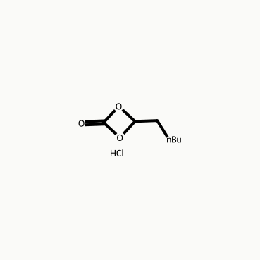 CCCCCC1OC(=O)O1.Cl